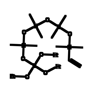 C=C[Si](C)(C)O[Si](C)(C)O[Si](C)(C)O[Si](C)(C)O[Si](OCC)(OCC)OCC